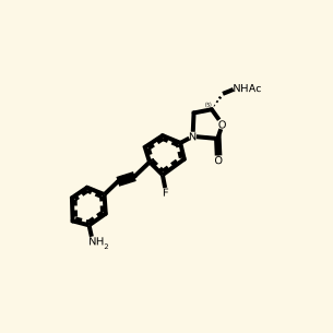 CC(=O)NC[C@H]1CN(c2ccc(C#Cc3cccc(N)c3)c(F)c2)C(=O)O1